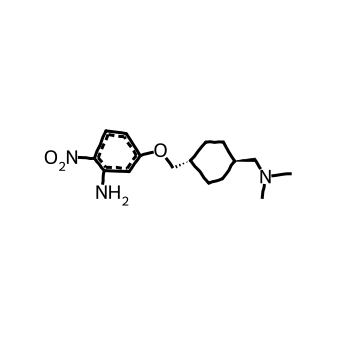 CN(C)C[C@H]1CC[C@H](COc2ccc([N+](=O)[O-])c(N)c2)CC1